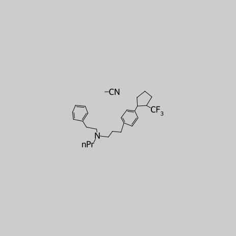 CC#N.CCCN(CCCc1ccc(C2CCCC2C(F)(F)F)cc1)CCc1ccccc1